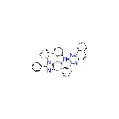 c1ccc(-c2nc3ccc4ccccc4c3nc2-n2c3cccc4c5ccccc5n5c(-c6ccccc6)nc6ccc2c(c43)c65)cc1